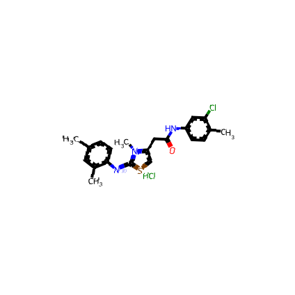 Cc1ccc(/N=c2/scc(CC(=O)Nc3ccc(C)c(Cl)c3)n2C)c(C)c1.Cl